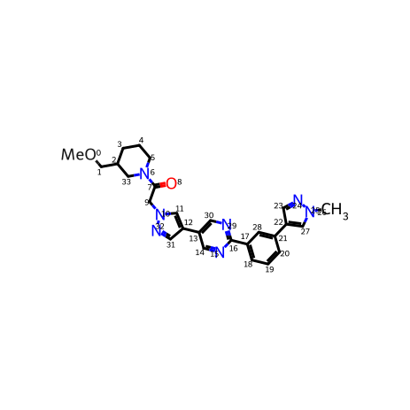 COCC1CCCN(C(=O)Cn2cc(-c3cnc(-c4cccc(-c5cnn(C)c5)c4)nc3)cn2)C1